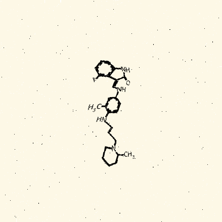 Cc1cc(N/C=C2\C(=O)Nc3cccc(F)c32)ccc1NCCCN1CCCCC1C